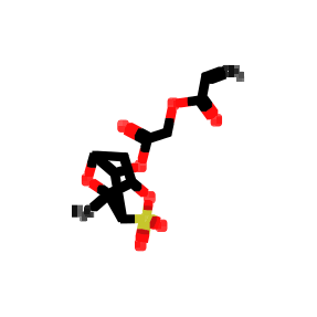 C=CC(=O)OCC(=O)OC1C2CC3OS(=O)(=O)C1C3(C)O2